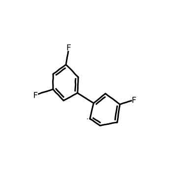 Fc1cc[c]c(-c2cc(F)cc(F)c2)c1